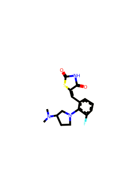 CN(C)C1CCN(c2c(F)cccc2C=C2SC(=O)NC2=O)C1